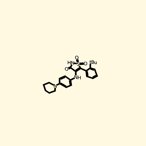 CC(C)(C)c1ccccc1C1=C(Nc2ccc(N3CCCCC3)cc2)C(=O)NS1(=O)=O